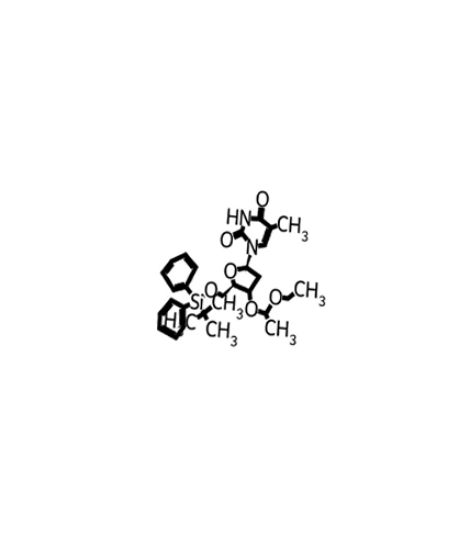 CCOC(C)OC1C[C@H](n2cc(C)c(=O)[nH]c2=O)O[C@@H]1CO[Si](c1ccccc1)(c1ccccc1)C(C)(C)C